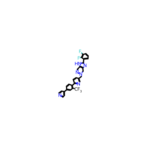 Fc1cccc(-c2nc3c([nH]2)C=NN(Cc2ccc(-c4ccc(-c5ccncc5)cc4C(F)(F)F)nc2)C3)c1F